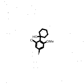 COc1cc(F)cc(Cl)c1C1(O)CCCCC1